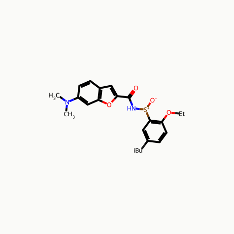 CCOc1ccc(C(C)CC)cc1[S+]([O-])NC(=O)c1cc2ccc(N(C)C)cc2o1